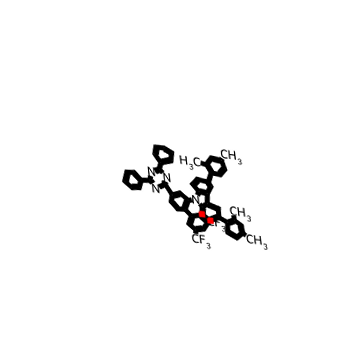 Cc1ccc(-c2ccc3c(c2)c2cc(-c4ccc(C)cc4C)ccc2n3-c2cc(-c3nc(-c4ccccc4)nc(-c4ccccc4)n3)ccc2-c2cc(C(F)(F)F)cc(C(F)(F)F)c2)c(C)c1